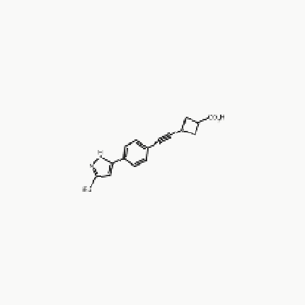 CCC(C)c1cc(-c2ccc(C#CC3CC(C(=O)O)C3)cc2)[pH]n1